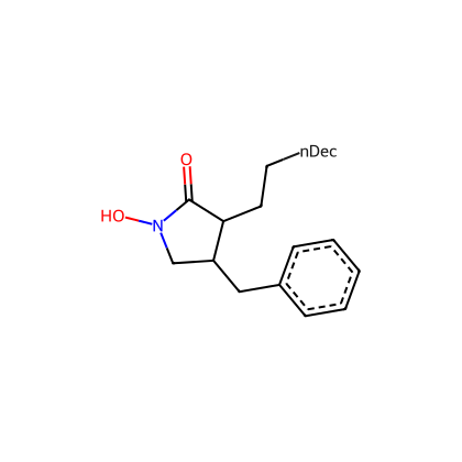 CCCCCCCCCCCCC1C(=O)N(O)CC1Cc1ccccc1